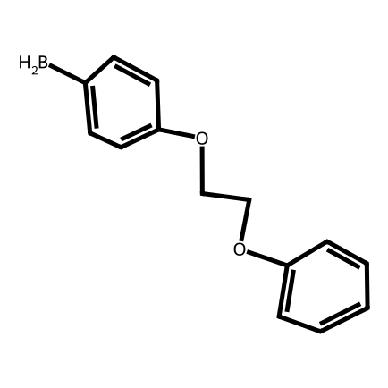 Bc1ccc(OCCOc2ccccc2)cc1